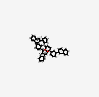 c1cc(-c2ccc(N(c3ccccc3-c3cccc4c3sc3ccccc34)c3cccc4oc5c6ccccc6ccc5c34)cc2)cc(-c2ccc3ccccc3c2)c1